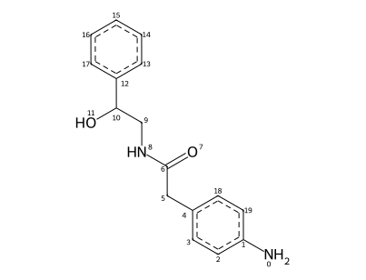 Nc1ccc(CC(=O)NCC(O)c2ccccc2)cc1